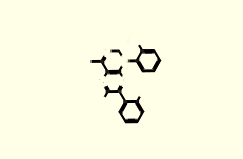 CCc1nc2c(nc1-c1ccccc1F)N(c1ccccc1C(C)C)CN=C2Cl